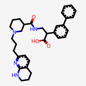 O=C(NCC(C(=O)O)c1cccc(-c2ccccc2)c1)C1CCCN(CCCc2ccc3c(n2)NCCC3)C1